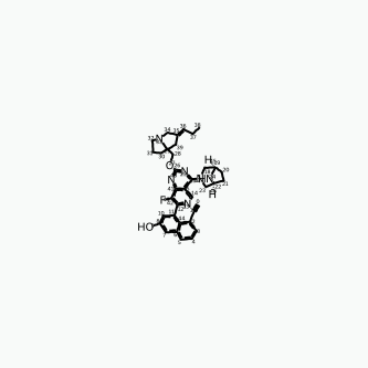 C#Cc1cccc2cc(O)cc(-c3ncc4c(N5C[C@H]6CC[C@@H](C5)N6)nc(OCC56CCCN5CC(=CCC)C6)nc4c3F)c12